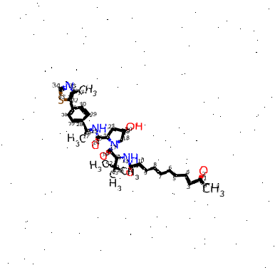 CC(=O)CCCCCCCCC(=O)N[C@H](C(=O)N1C[C@H](O)CC1C(=O)N[C@@H](C)c1ccc(-c2scnc2C)cc1)C(C)(C)C